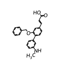 CNc1cccc(-c2ccc(/C=C/C(=O)O)cc2OCc2ccccc2)c1